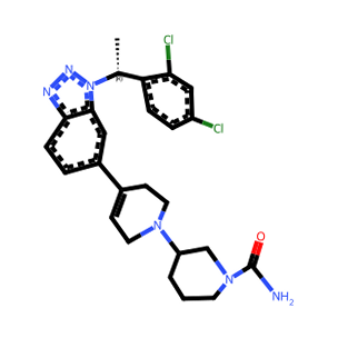 C[C@H](c1ccc(Cl)cc1Cl)n1nnc2ccc(C3=CCN(C4CCCN(C(N)=O)C4)CC3)cc21